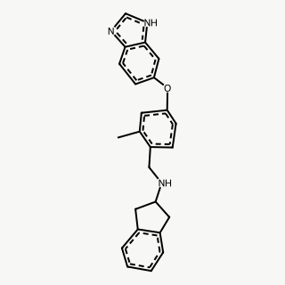 Cc1cc(Oc2ccc3nc[nH]c3c2)ccc1CNC1Cc2ccccc2C1